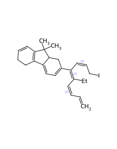 C=C\C=C/C(CC)=C(/C=C\CI)C1=CC=C2C3=C(C=CCC3)C(C)(C)C2C1